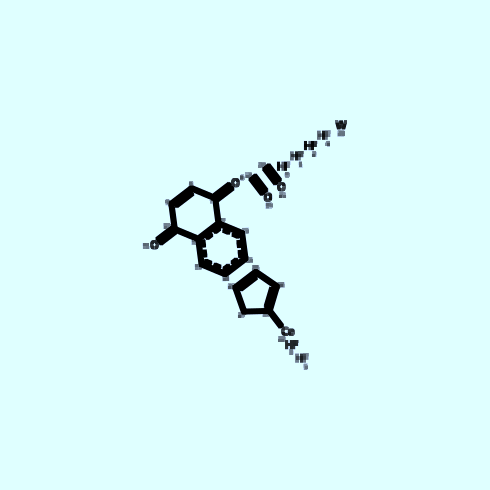 F.F.F.F.F.F.O=C1C=CC(=O)c2ccccc21.[C]=O.[C]=O.[Co][C]1=CC=CC1.[W]